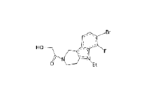 CCn1c2c(c3ccc(Br)c(F)c31)CN(C(=O)CO)CC2